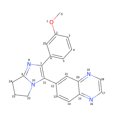 COc1cccc(-c2nc3n(c2-c2ccc4nccnc4c2)CCC3)c1